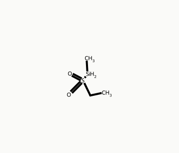 CCS(=O)(=O)[SiH2]C